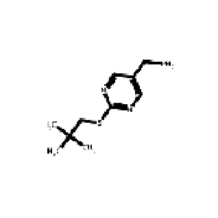 CC(C)(C)CSc1ncc(CP)cn1